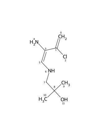 C=C(Cl)/C(N)=C\NCC(C)(C)O